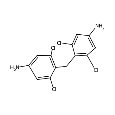 Nc1cc(Cl)c(Cc2c(Cl)cc(N)cc2Cl)c(Cl)c1